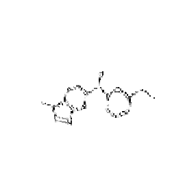 CCc1cccc(C(Cl)c2ccc3c(c2)nnn3C)c1